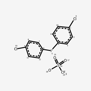 Clc1ccc([I+]c2ccc(Cl)cc2)cc1.O=S(=O)([O-])C(F)(F)F